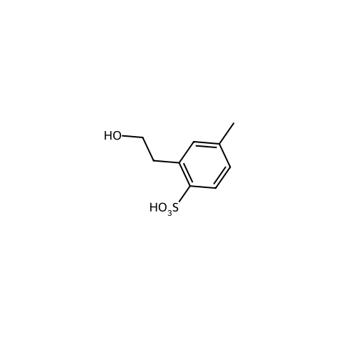 Cc1ccc(S(=O)(=O)O)c(CCO)c1